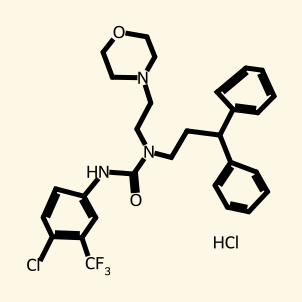 Cl.O=C(Nc1ccc(Cl)c(C(F)(F)F)c1)N(CCC(c1ccccc1)c1ccccc1)CCN1CCOCC1